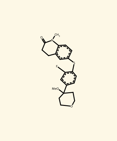 COC1(c2ccc(Sc3ccc4c(c3)CCC(=O)N4C)c(F)c2)CCOCC1